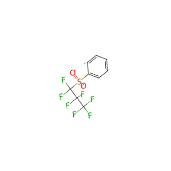 O=S(=O)(c1[c]cccc1)C(F)(F)C(F)(F)C(F)(F)F